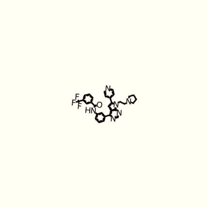 O=C(Nc1cccc(-c2ncnc3c2cc(-c2ccncc2)n3CCN2CCCC2)c1)c1cccc(C(F)(F)F)c1